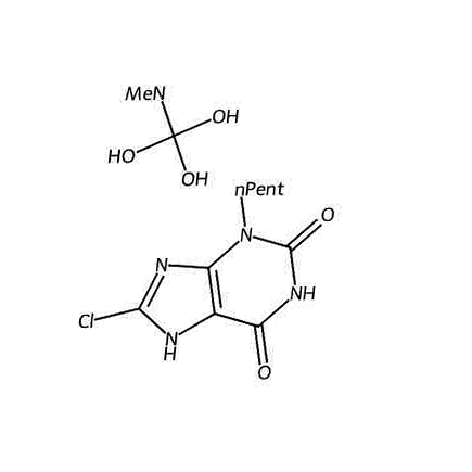 CCCCCn1c(=O)[nH]c(=O)c2[nH]c(Cl)nc21.CNC(O)(O)O